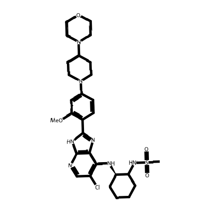 COc1cc(N2CCC(N3CCOCC3)CC2)ccc1-c1nc2c(N[C@@H]3CCCCC3NS(C)(=O)=O)c(Cl)cnc2[nH]1